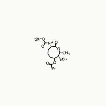 CCCC[C@@H]1[C@H](C)OC(=O)[C@@H](NC(=O)OC(C)(C)C)CCC[C@@H]1OC(=O)C(C)C